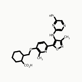 CCCc1cncc(Nc2c(C)noc2-c2ccc(OCC3CCCCC3C(=O)O)c(C)n2)n1